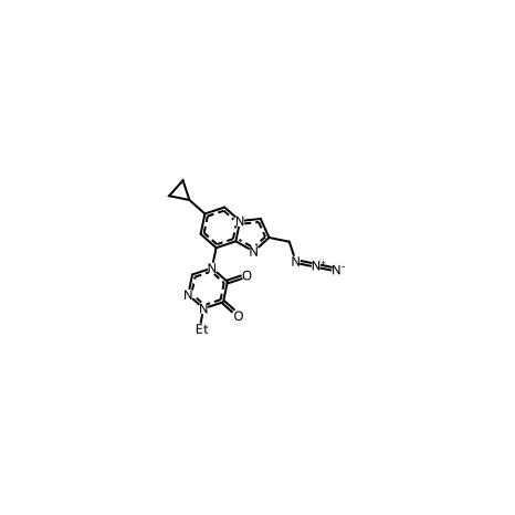 CCn1ncn(-c2cc(C3CC3)cn3cc(CN=[N+]=[N-])nc23)c(=O)c1=O